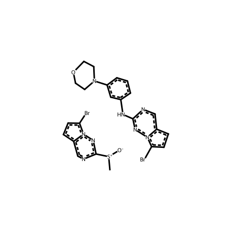 Brc1ccc2cnc(Nc3cccc(N4CCOCC4)c3)nn12.C[S+]([O-])c1ncc2ccc(Br)n2n1